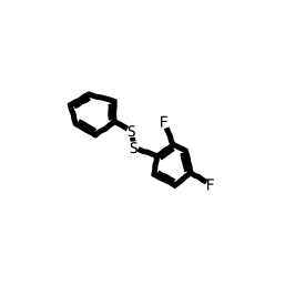 Fc1ccc(SSc2ccccc2)c(F)c1